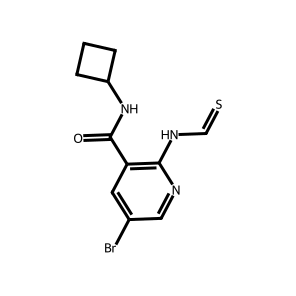 O=C(NC1CCC1)c1cc(Br)cnc1NC=S